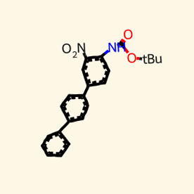 CC(C)(C)OC(=O)Nc1ccc(-c2ccc(-c3ccccc3)cc2)cc1[N+](=O)[O-]